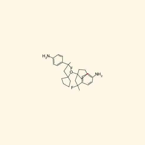 CC(F)(CC1(OC2(CC(C)(F)c3ccc(N)cc3)CCCC2)CCCC1)c1ccc(N)cc1